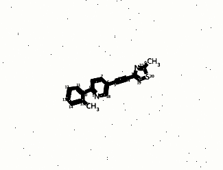 Cc1nc(C#Cc2ccc(-c3ccccc3C)nc2)cs1